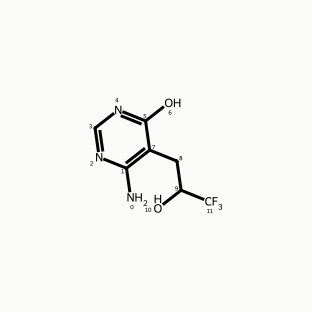 Nc1ncnc(O)c1CC(O)C(F)(F)F